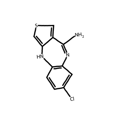 NC1=Nc2cc(Cl)ccc2Nc2cscc21